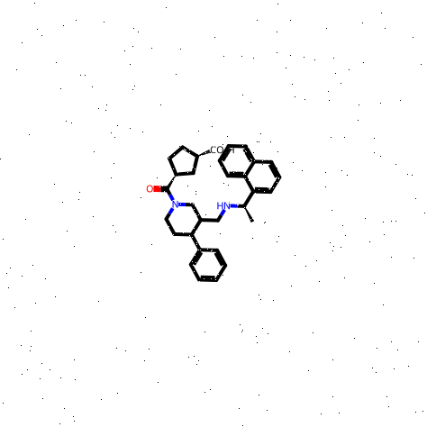 C[C@@H](NCC1CN(C(=O)[C@H]2CC[C@@H](C(=O)O)C2)CCC1c1ccccc1)c1cccc2ccccc12